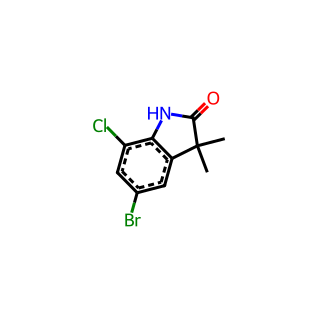 CC1(C)C(=O)Nc2c(Cl)cc(Br)cc21